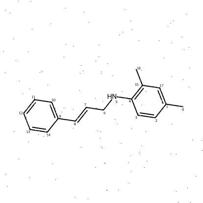 Cc1ccc(NCC=Cc2ccccc2)c(C)c1